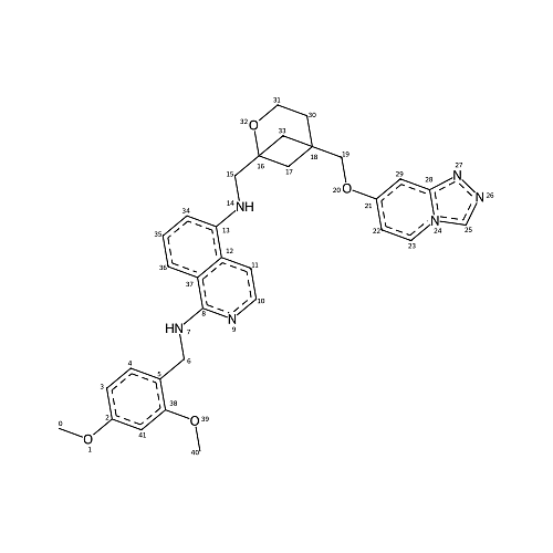 COc1ccc(CNc2nccc3c(NCC45CC(COc6ccn7cnnc7c6)(CCO4)C5)cccc23)c(OC)c1